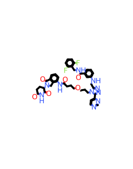 O=C1CCC(N2Cc3c(NC(=O)CCCOCCCn4c(CNc5cccc(C(=O)NCc6c(F)cccc6F)c5)nnc4-c4ccncn4)cccc3C2=O)C(=O)N1